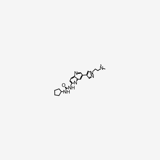 CN(C)CCn1cc(-c2cnc3ccc(NC(=O)NC4CCCC4)nc3c2)cn1